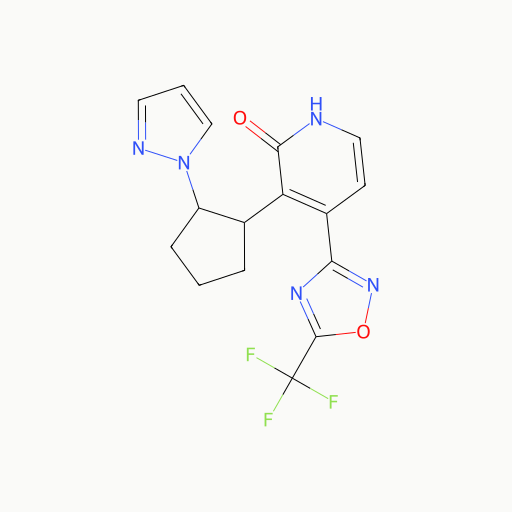 O=c1[nH]ccc(-c2noc(C(F)(F)F)n2)c1C1CCCC1n1cccn1